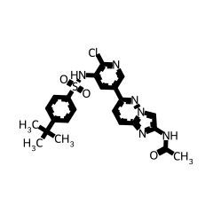 CC(=O)Nc1cn2nc(-c3cnc(Cl)c(NS(=O)(=O)c4ccc(C(C)(C)C)cc4)c3)ccc2n1